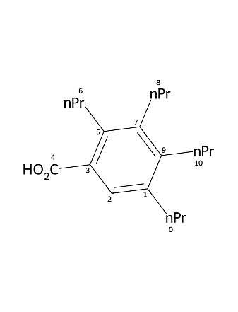 CCCc1cc(C(=O)O)c(CCC)c(CCC)c1CCC